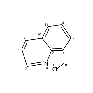 CCl.c1ccc2ncccc2c1